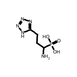 NC(CCc1nnn[nH]1)P(=O)(O)O